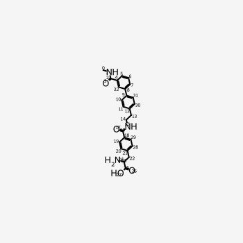 CNC(=O)c1cccc(-c2ccc(CCNC(=O)c3ccc(CC(N)C(=O)O)cc3)cc2)c1